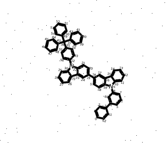 c1ccc(-c2cccc(-n3c4ccccc4c4cc(-c5ccc6c(c5)c5ccccc5n6-c5ccc(C(c6ccccc6)(c6ccccc6)c6ccccc6)cc5)ccc43)c2)cc1